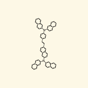 C(=C\c1ccc2cc(N(c3ccc4ccccc4c3)c3ccc4ccccc4c3)ccc2c1)/c1ccc(N(c2ccc3ccccc3c2)c2ccc3ccccc3c2)cc1